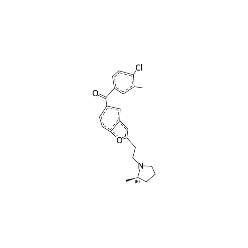 Cc1cc(C(=O)c2ccc3oc(CCN4CCC[C@H]4C)cc3c2)ccc1Cl